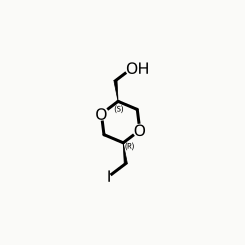 OC[C@H]1CO[C@@H](CI)CO1